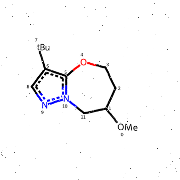 COC1CCOc2c(C(C)(C)C)cnn2C1